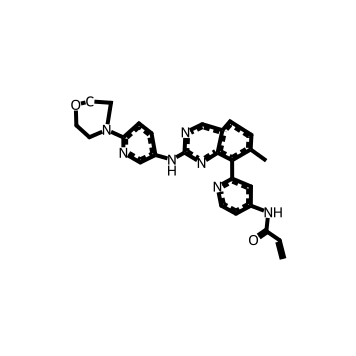 C=CC(=O)Nc1ccnc(-c2c(C)ccc3cnc(Nc4ccc(N5CCOCC5)nc4)nc23)c1